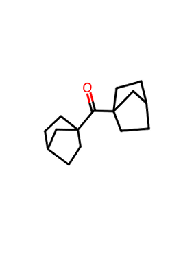 O=C(C12CCC(CC1)C2)C12CCC(CC1)C2